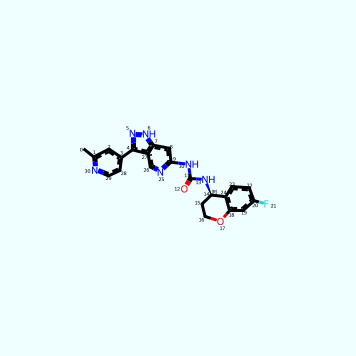 Cc1cc(-c2n[nH]c3cc(NC(=O)N[C@@H]4CCOc5cc(F)ccc54)ncc23)ccn1